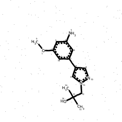 COc1cc(N)cc(-c2cnn(CC(C)(C)O)c2)c1